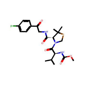 COC(=O)N[C@H](C(=O)N1CSC(C)(C)[C@H]1C(=O)NCC(=O)c1ccc(Br)cc1)C(C)C